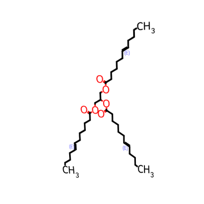 CCCC/C=C/CCCCCC(=O)OCC(COC(=O)CCCCC/C=C/CCCC)OC(=O)CCCCC/C=C/CCCC